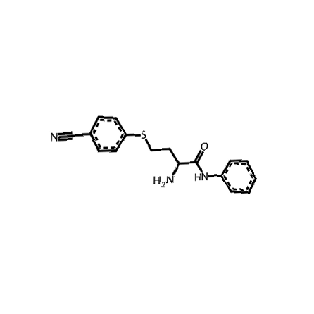 N#Cc1ccc(SCCC(N)C(=O)Nc2ccccc2)cc1